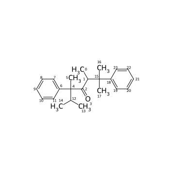 CC(C(=O)C(C)(c1ccccc1)C(C)C)C(C)(C)c1ccccc1